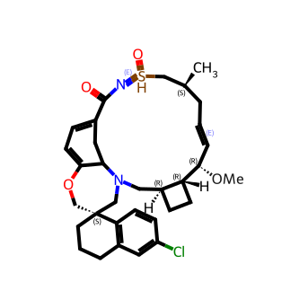 CO[C@H]1/C=C/C[C@H](C)C/[SH](=O)=N\C(=O)C2=CC=C3OC[C@]4(CCCc5cc(Cl)ccc54)CN(C[C@@H]4CC[C@H]41)C3C2